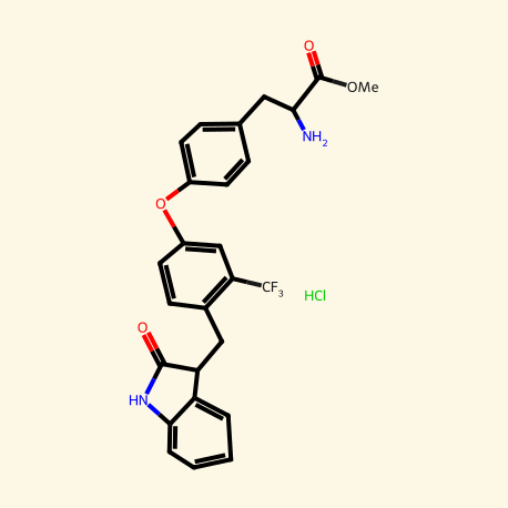 COC(=O)C(N)Cc1ccc(Oc2ccc(CC3C(=O)Nc4ccccc43)c(C(F)(F)F)c2)cc1.Cl